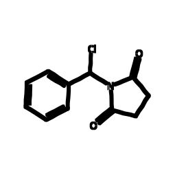 O=C1CCC(=O)N1C(Cl)c1ccccc1